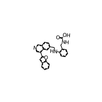 O=C(O)NCc1ccccc1NCc1ccc2cncc(-c3cc4ccccc4o3)c2c1